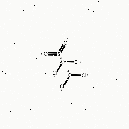 ClOCl.ClOCl.O=S=O